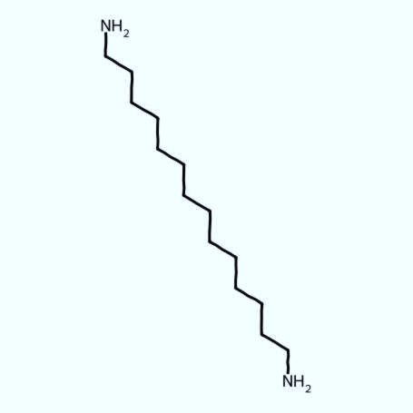 NCCCCCCCCCCCCCCN